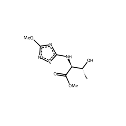 COC(=O)[C@@H](Nc1nc(OC)ns1)[C@@H](C)O